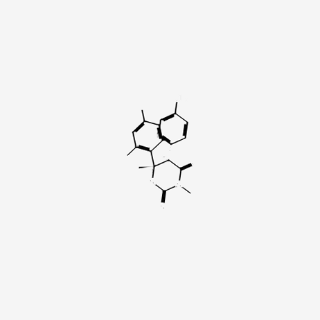 CN1C(=N)N[C@](C)(c2ccc(F)cc2F)[C@H](c2ccc(C(F)(F)F)cn2)C1=O